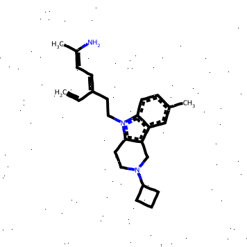 C=C/C(=C\C=C(\C)N)CCn1c2c(c3cc(C)ccc31)CN(C1CCC1)CC2